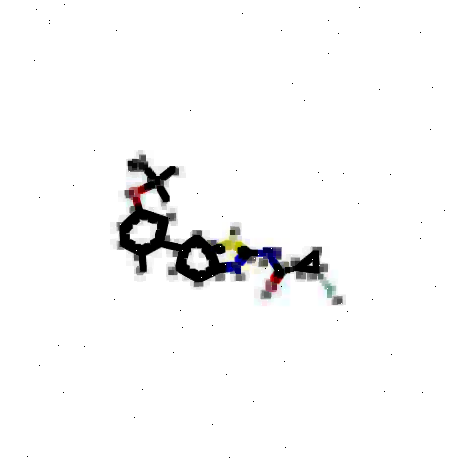 Cc1ccc(O[Si](C)(C)C(C)(C)C)cc1-c1ccc2nc(NC(=O)[C@@H]3C[C@@H]3F)sc2c1